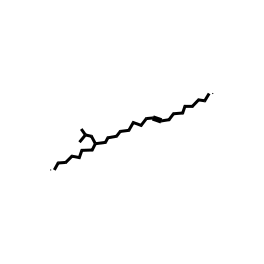 [CH2]CCCCCCCC#CCCCCCCCCC(CCCCCC[CH2])CC(C)C